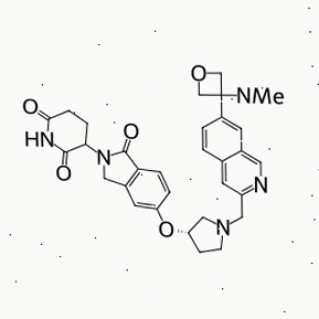 CNC1(c2ccc3cc(CN4CC[C@H](Oc5ccc6c(c5)CN(C5CCC(=O)NC5=O)C6=O)C4)ncc3c2)COC1